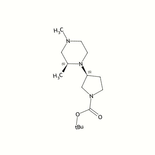 C[C@H]1CN(C)CCN1[C@H]1CCN(C(=O)OC(C)(C)C)C1